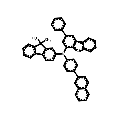 CC1(C)c2ccccc2-c2ccc(N(c3ccc(-c4ccc5ccccc5c4)cc3)c3cc(-c4ccccc4)cc4c3oc3ccccc34)cc21